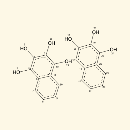 Oc1c(O)c(O)c2ccccc2c1O.Oc1cc2ccccc2c(O)c1O